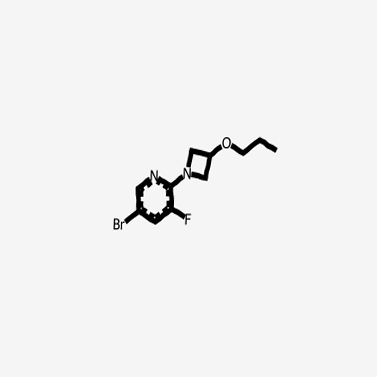 CCCOC1CN(c2ncc(Br)cc2F)C1